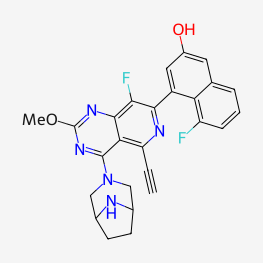 C#Cc1nc(-c2cc(O)cc3cccc(F)c23)c(F)c2nc(OC)nc(N3CC4CCC(C3)N4)c12